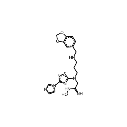 N=C(CN(CCCNCc1ccc2c(c1)OCO2)c1nc(-n2ccnc2)ns1)NO